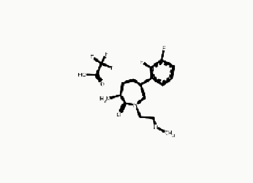 COCCN1CC(c2cccc(F)c2F)CCC(N)C1=O.O=C(O)C(F)(F)F